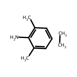 CC.Cc1cccc(C)c1N